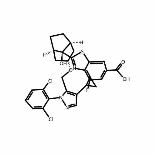 O=C(O)c1cc(F)c2nc([C@]3(O)[C@@H]4CC[C@H]3C[C@H](OCc3c(C5CC5)cnn3-c3c(Cl)cccc3Cl)C4)sc2c1